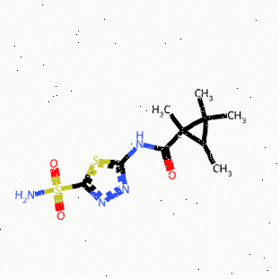 CC1C(C)(C)C1(C)C(=O)Nc1nnc(S(N)(=O)=O)s1